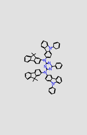 CC1(C)c2ccccc2-c2ccc(N(c3ccc4c(c3)c3ccccc3n4-c3ccccc3)c3nc(-c4ccccc4)nc(N(c4ccc5c(c4)C(C)(C)c4ccccc4-5)c4ccc5c(c4)c4ccccc4n5C4C=CC=CC4)n3)cc21